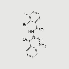 Cc1cccc(C(=O)NN(NN)C(=O)c2ccccc2)c1Br